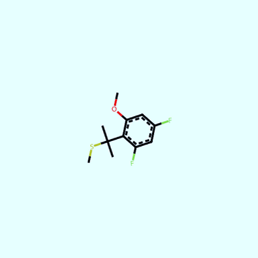 COc1cc(F)cc(F)c1C(C)(C)SC